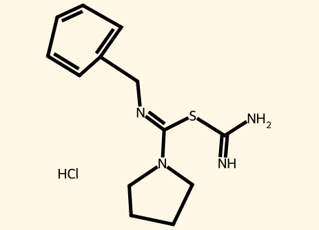 Cl.N=C(N)SC(=NCc1ccccc1)N1CCCC1